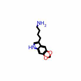 NCCCCc1c[nH]c2cc3c(cc12)OCO3